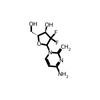 C=C1N=C(N)C=CN1C1O[C@H](CO)[C@@H](O)C1(F)F